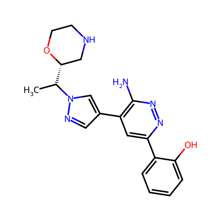 CC([C@H]1CNCCO1)n1cc(-c2cc(-c3ccccc3O)nnc2N)cn1